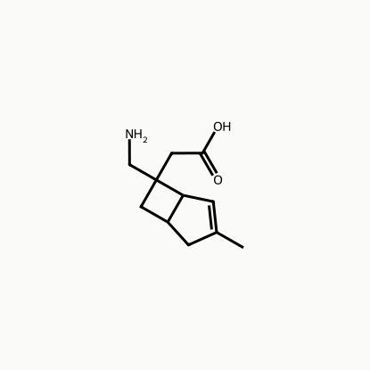 CC1=CC2C(C1)CC2(CN)CC(=O)O